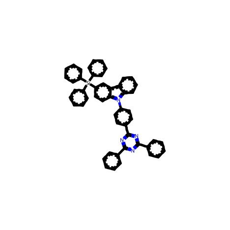 c1ccc(-c2nc(-c3ccccc3)nc(-c3ccc(-n4c5ccccc5c5cc([Si](c6ccccc6)(c6ccccc6)c6ccccc6)ccc54)cc3)n2)cc1